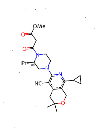 COC(=O)CC(=O)N1CCN(c2nc(C3CC3)c3c(c2C#N)CC(C)(C)OC3)C[C@H]1C(C)C